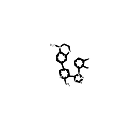 CN1CCOc2cc(-c3cnc(N)c(-c4nnnn4-c4cccc(F)c4F)c3)ccc21